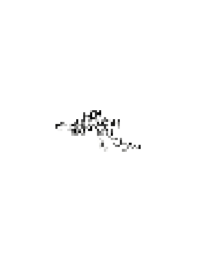 COc1ccc(CO[C@@H]2C(O)O[C@]3(C[C@H](C)[C@@H]4O[C@@H]5CO[Si](C(C)(C)C)(C(C)(C)C)O[C@@H]5C[C@@H]4O3)C[C@@H]2C)cc1